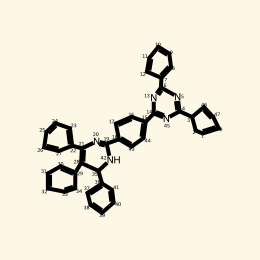 C1=CCC(c2nc(-c3ccccc3)nc(-c3ccc(C4=NC(c5ccccc5)=C(c5ccccc5)C(c5ccccc5)N4)cc3)n2)C=C1